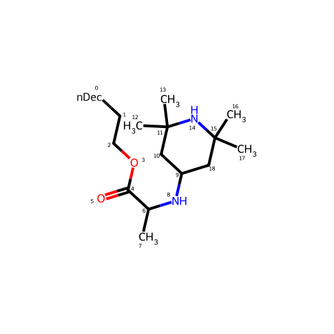 CCCCCCCCCCCCOC(=O)C(C)NC1CC(C)(C)NC(C)(C)C1